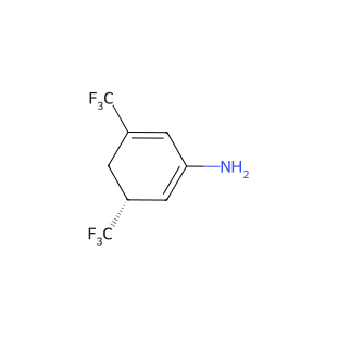 NC1=C[C@H](C(F)(F)F)CC(C(F)(F)F)=C1